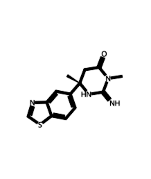 CN1C(=N)N[C@](C)(c2ccc3scnc3c2)CC1=O